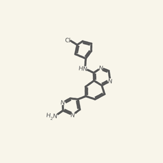 Nc1ncc(-c2ccc3ncnc(Nc4cccc(Cl)c4)c3c2)cn1